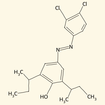 CCC(C)c1cc(N=Nc2ccc(Cl)c(Cl)c2)cc(C(C)CC)c1O